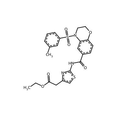 CCOC(=O)Cc1csc(NC(=O)c2ccc3c(c2)N(S(=O)(=O)c2cccc(C)c2)CCO3)n1